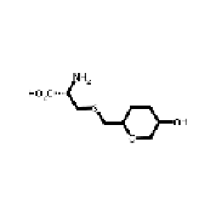 N[C@H](CSCC1CCC(O)CO1)C(=O)O